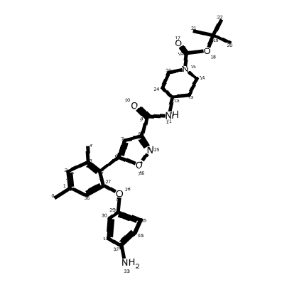 Cc1cc(C)c(-c2cc(C(=O)NC3CCN(C(=O)OC(C)(C)C)CC3)no2)c(Oc2ccc(N)cc2)c1